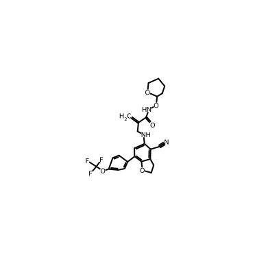 C=C(CNc1cc(-c2ccc(OC(F)(F)F)cc2)c2c(c1C#N)CCO2)C(=O)NOC1CCCCO1